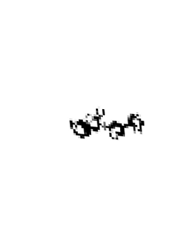 O=C1OC2(CN3CCC2CC3)CN1c1cc(-c2cscn2)co1